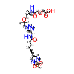 CC(C)(CCOC(C)(C)Cn1cc(CNC(=O)CCCC#Cc2cnc(S(C)(=O)=O)nc2)nn1)NC(=O)COCC(=O)O